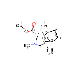 CN1C[C@H]2[C@@H]([C@H]1C(=O)OC(C)(C)C)[C@H]1C=C[C@@H]2C1